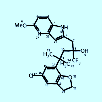 COc1ccc2[nH]c(CC(O)(CC(C)(C)c3cc(Cl)cc4c3OCC4)C(F)(F)F)cc2n1